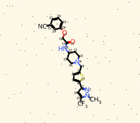 Cn1nc(-c2ccc(CN3CCC(NC(=O)COc4cccc(C#N)c4)CC3)s2)cc1C(F)(F)F